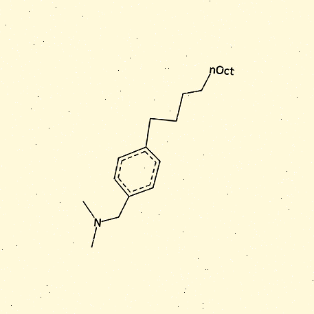 CCCCCCCCCCCCc1ccc(CN(C)C)cc1